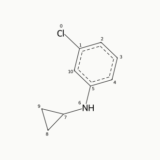 Clc1cccc(NC2CC2)c1